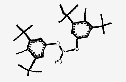 Cc1c(C(C)(C)C)cc(OP(O)Oc2cc(C(C)(C)C)c(C)c(C(C)(C)C)c2)cc1C(C)(C)C